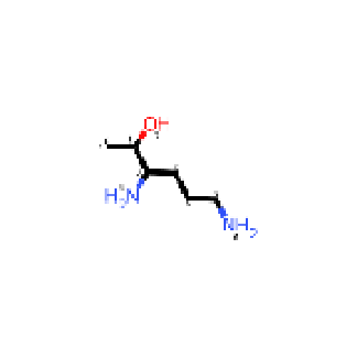 [CH2]C(O)C(N)CCCN